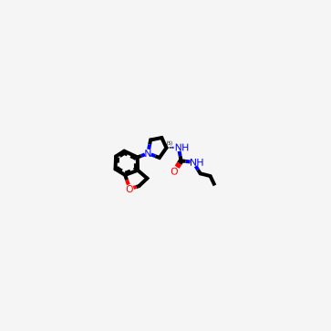 CCCNC(=O)N[C@H]1CCN(c2cccc3c2CCO3)C1